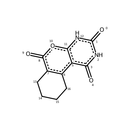 O=c1[nH]c(=O)c2c3c(c(=O)oc2[nH]1)CCCC3